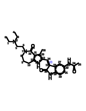 CCN(CC)CCN1CCCc2[nH]c(/C=C3\C(=O)Nc4ccc(NC(C)=O)cc43)c(C)c2C1=O